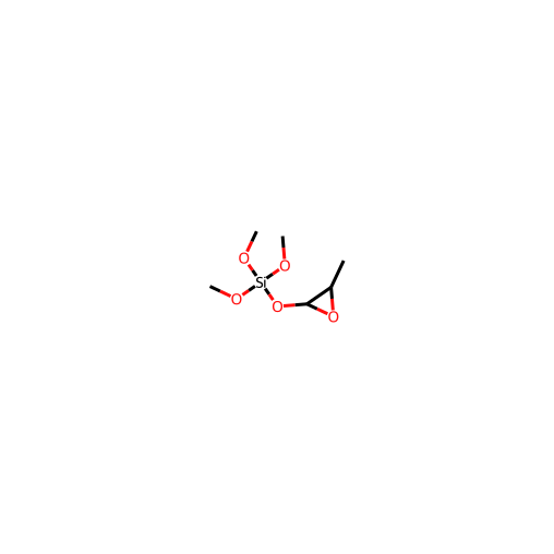 CO[Si](OC)(OC)OC1OC1C